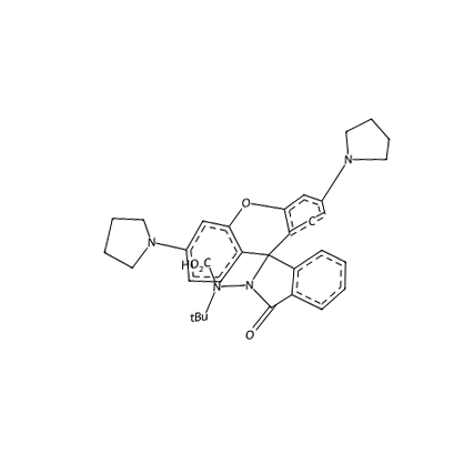 CC(C)(C)N(C(=O)O)N1C(=O)c2ccccc2C12c1ccc(N3CCCC3)cc1Oc1cc(N3CCCC3)ccc12